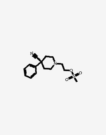 CS(=O)(=O)OCCN1CCC(C#N)(c2ccccc2)CC1